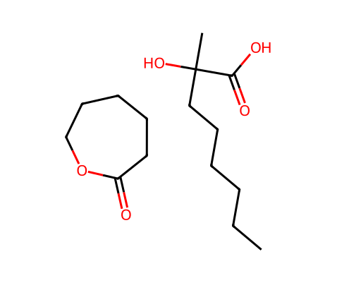 CCCCCCC(C)(O)C(=O)O.O=C1CCCCCO1